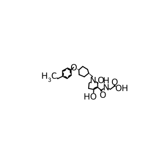 CCc1ccc(O[C@H]2CC[C@H](CN3CCC(O)=C(C(=O)NCC(=O)O)C3=O)CC2)cc1